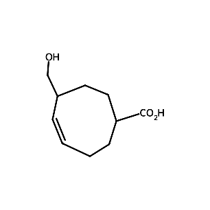 O=C(O)C1CCC=CC(CO)CC1